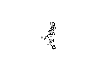 CC(CCNC(=O)OCc1ccccc1)CC(=O)N1CCC2C1C(=O)CN2S(=O)(=O)c1cccnc1